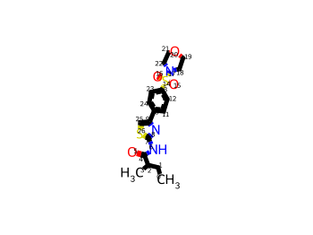 CCC(C)C(=O)Nc1nc(-c2ccc(S(=O)(=O)N3CCOCC3)cc2)cs1